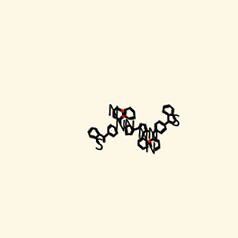 c1ccc(-n2c(-c3ccc(N(c4ccc(-c5csc6ccccc56)cc4)c4cccnc4)n3-c3ccccc3)ccc2N(c2ccc(-c3csc4ccccc34)cc2)c2cccnc2)cc1